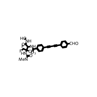 CNC(=O)NC(C)(C(F)F)C(NC(=O)c1ccc(C#CC#Cc2ccc(C=O)cc2)cc1)C(=O)NO